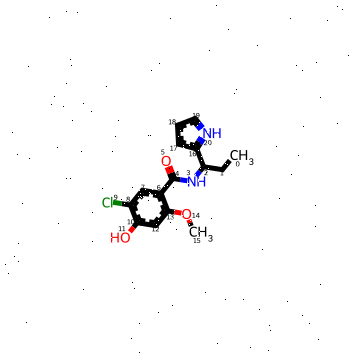 CCC(NC(=O)c1cc(Cl)c(O)cc1OC)c1ccc[nH]1